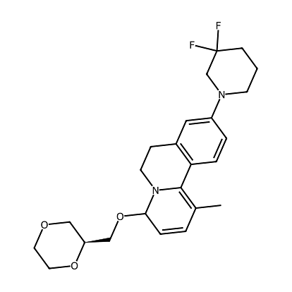 CC1=C2c3ccc(N4CCCC(F)(F)C4)cc3CCN2C(OC[C@@H]2COCCO2)C=C1